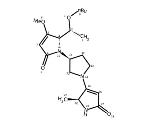 CCCCO[C@H](C)[C@H]1C(OC)=CC(=O)N1[C@H]1CCN(C2=CC(=O)N[C@H]2C)C1